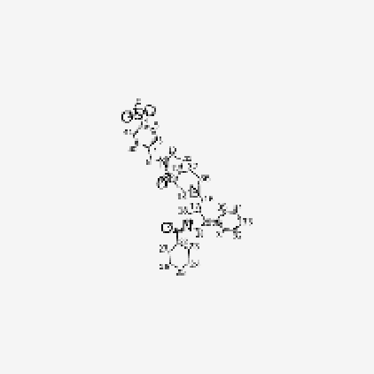 CS(=O)(=O)c1ccc(CN2CCC3(CCN(CC4CN(C(=O)C5CCCCC5)CC4c4ccccc4)CC3)C2=O)cc1